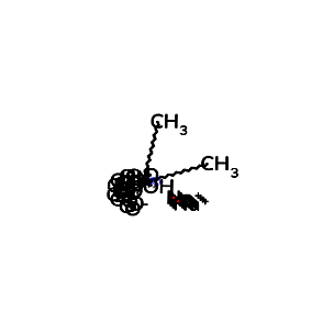 CCCCCCCCCCCCC/C=C/[C@@H](O)[C@H](CO[C@H]1O[C@H](COS(=O)(=O)[O-])[C@H](OS(=O)(=O)[O-])[C@H](OS(=O)(=O)[O-])[C@H]1OS(=O)(=O)[O-])NC(=O)CCCCCCCCCCCCCCC.[Na+].[Na+].[Na+].[Na+]